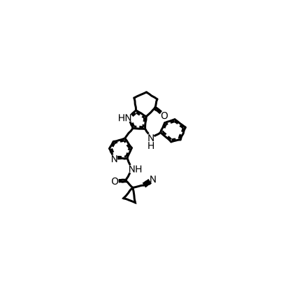 N#CC1(C(=O)Nc2cc(-c3[nH]c4c(c3Nc3ccccc3)C(=O)CCC4)ccn2)CC1